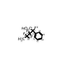 CC(F)(F)C(F)(F)C(F)(C(=O)O)c1ccccc1